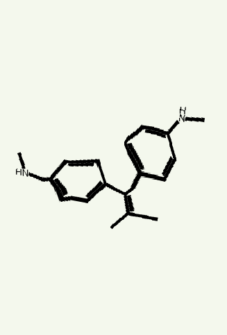 CNc1ccc(C(=C(C)C)c2ccc(NC)cc2)cc1